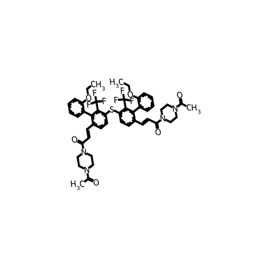 CCOc1ccccc1-c1c(/C=C/C(=O)N2CCN(C(C)=O)CC2)ccc(Sc2ccc(/C=C/C(=O)N3CCN(C(C)=O)CC3)c(-c3ccccc3OCC)c2C(F)(F)F)c1C(F)(F)F